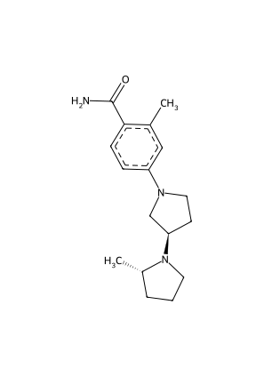 Cc1cc(N2CC[C@@H](N3CCC[C@@H]3C)C2)ccc1C(N)=O